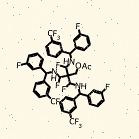 CC(=O)OCC(C(F)NC(c1cccc(F)c1)c1cccc(C(F)(F)F)c1)(C(F)NC(c1cccc(F)c1)c1cccc(C(F)(F)F)c1)C(F)NC(c1cccc(F)c1)c1cccc(C(F)(F)F)c1